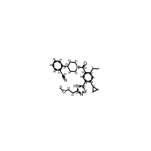 CCc1cc(C2CC2)c(-c2nnc(CCOC)[nH]2)cc1C(=O)N1CCC(c2ccccc2C#N)CC1